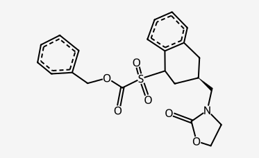 O=C1OCCN1C[C@@H]1Cc2ccccc2C(S(=O)(=O)C(=O)OCc2ccccc2)C1